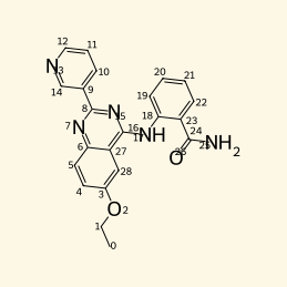 CCOc1ccc2nc(-c3cccnc3)nc(Nc3ccccc3C(N)=O)c2c1